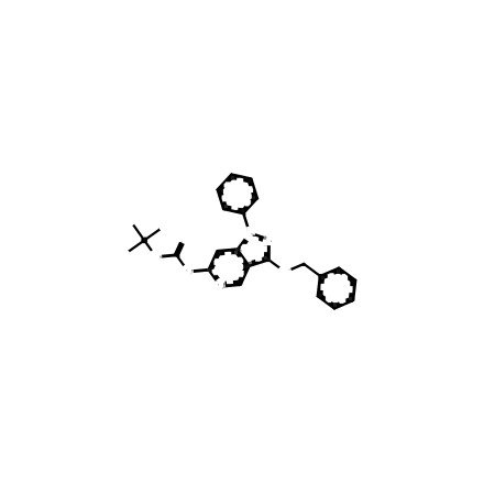 CC(C)(C)OC(=O)Nc1cc2c(cn1)c(OCc1ccccc1)nn2-c1ccccc1